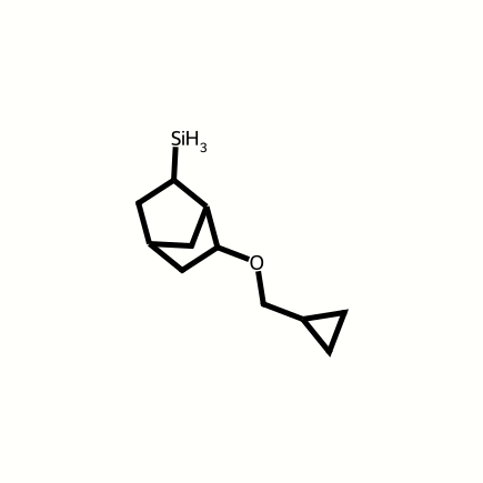 [SiH3]C1CC2CC(OCC3CC3)C1C2